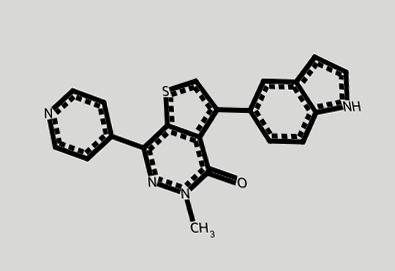 Cn1nc(-c2ccncc2)c2scc(-c3ccc4[nH]ccc4c3)c2c1=O